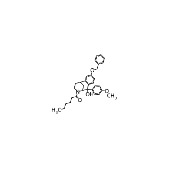 CCCCCC(=O)N1CCC2CC1C(O)(c1ccc(OC)cc1)c1ccc(OCc3ccccc3)cc12